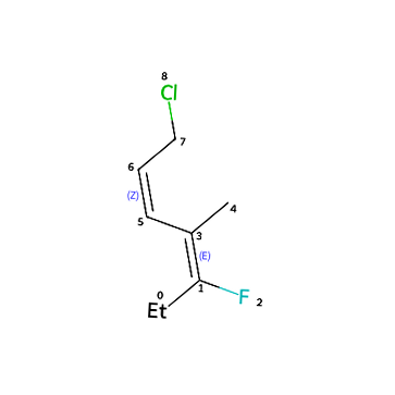 CC/C(F)=C(C)\C=C/CCl